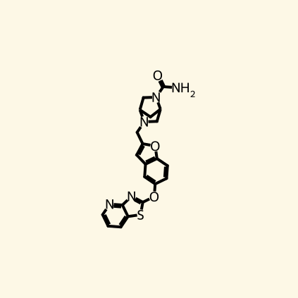 NC(=O)N1CC2CC1CN2Cc1cc2cc(Oc3nc4ncccc4s3)ccc2o1